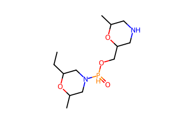 CCC1CN([PH](=O)OCC2CNCC(C)O2)CC(C)O1